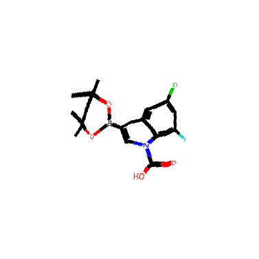 CC1(C)OB(c2cn(C(=O)O)c3c(F)cc(Cl)cc23)OC1(C)C